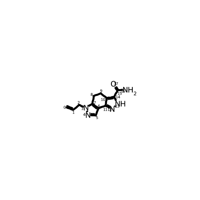 C=CCn1ncc2c1CCc1c-2n[nH]c1C(N)=O